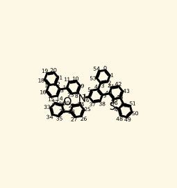 c1ccc(-c2cc(N(c3cccc(-c4cccc5ccccc45)c3)c3cccc4c3oc3ccccc34)ccc2-c2cccc3c2sc2ccccc23)cc1